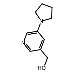 OCc1cncc(N2CCCC2)c1